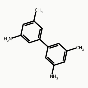 Cc1cc(N)cc(-c2cc(C)cc(N)c2)c1